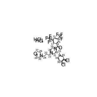 Cl.Cl.O=C(c1cc(C(F)(F)F)cc(C(F)(F)F)c1)N1CCN(CCCN2CCOCC2)C[C@H]1Cc1ccc(Cl)c(Cl)c1